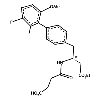 CCOC(=O)C[C@@H](Cc1ccc(-c2c(OC)ccc(F)c2F)cc1)NC(=O)CCC(=O)O